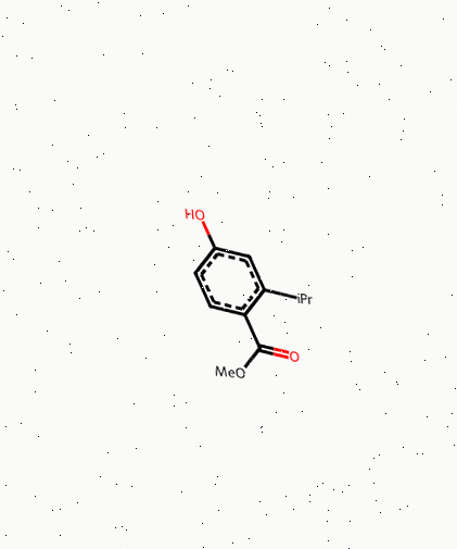 COC(=O)c1ccc(O)cc1C(C)C